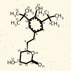 CC(C)(C)c1cc(CC[C@@H]2C[C@@H](O)CC(=O)O2)cc(C(C)(C)C)c1O